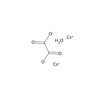 O.O=C([O-])C(=O)[O-].[Cs+].[Cs+]